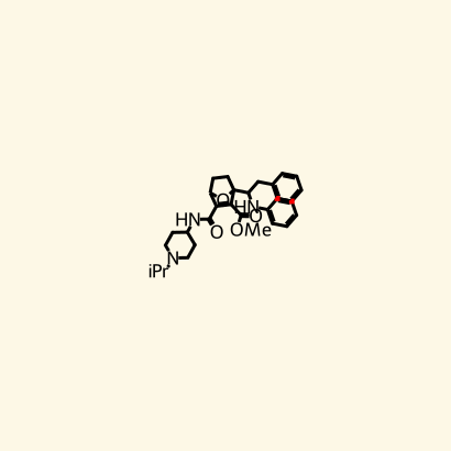 COC(=O)C1=C(C(=O)NC2CCN(C(C)C)CC2)C2CCC1(C(Cc1ccccc1)Nc1ccccc1)O2